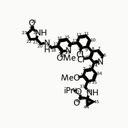 COc1cc(-c2nccc(-c3cccc(-c4ccc(CNCC5CCC(=O)N5)c(OC)n4)c3Cl)c2Cl)ccc1CNC1(C(=O)OC(C)C)CC1